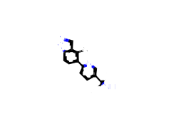 CC(C)(N)c1ccc(-c2ccc3[nH]ncc3c2[N+](=O)[O-])nc1